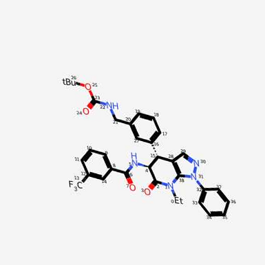 CCN1C(=O)[C@@H](NC(=O)c2cccc(C(F)(F)F)c2)[C@H](c2cccc(CNC(=O)OC(C)(C)C)c2)c2cnn(-c3ccccc3)c21